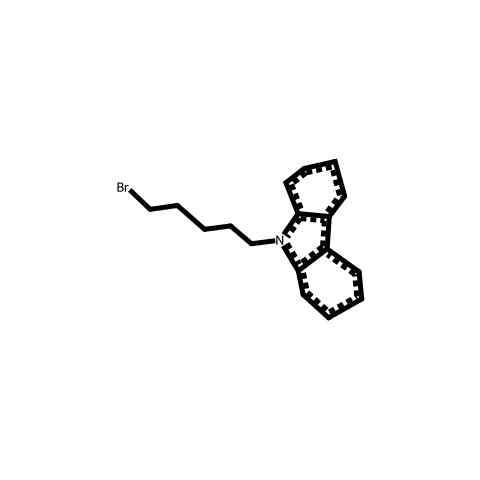 BrCCCCCn1c2ccccc2c2ccccc21